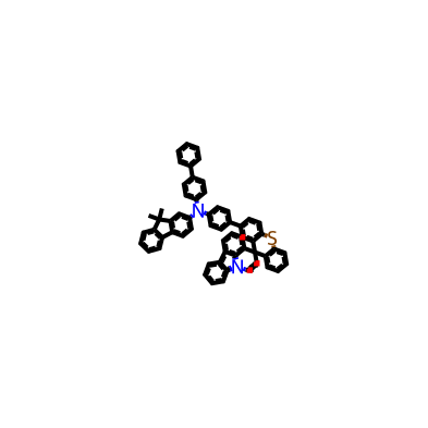 CC1(C)c2ccccc2-c2ccc(N(c3ccc(-c4ccccc4)cc3)c3ccc(-c4ccc5c(c4)C4(c6ccccc6S5)c5ccccc5-n5c6ccccc6c6cccc4c65)cc3)cc21